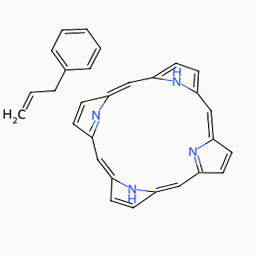 C1=Cc2cc3ccc(cc4nc(cc5ccc(cc1n2)[nH]5)C=C4)[nH]3.C=CCc1ccccc1